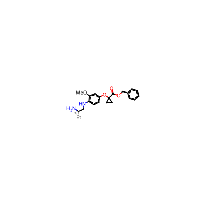 CC[C@H](N)CNc1ccc(OC2(C(=O)OCc3ccccc3)CC2)cc1OC